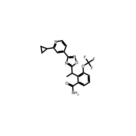 CC(c1nc(-c2ccnc(C3CC3)c2)no1)c1c(OC(F)(F)F)cccc1C(N)=O